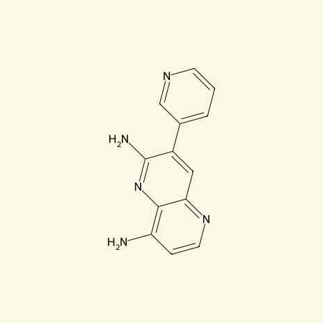 Nc1nc2c(N)ccnc2cc1-c1cccnc1